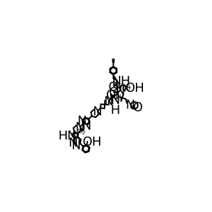 C#Cc1ccc(CNC(=O)[C@@H]2C[C@@H](O)CN2C(=O)[C@H](NC(=O)N2CC3(CC(N4CCC(c5cnc(N6CCc7[nH]c8nnc(-c9ccccc9O)cc8c7[C@H]6C)nc5)CC4)C3)C2)C(C)(C)CCN2CCOCC2)cc1